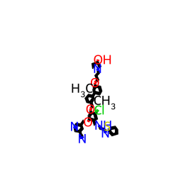 Cc1c(COc2cc(OCc3cncc(C#N)c3)c(CNCc3nc4ccccc4s3)cc2Cl)cccc1-c1cccc(OCCCN2CCC(O)C2)c1C